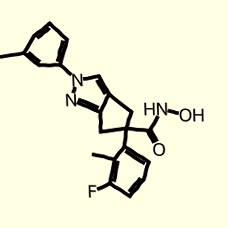 Cc1cccc(-n2cc3c(n2)CC(C(=O)NO)(c2cccc(F)c2C)C3)c1